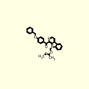 COC(C)OCn1c2ccccc2c2ccnc(C(=O)c3ccc(OCc4ccccc4)cc3)c21